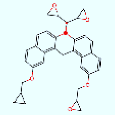 c1cc2ccc(OCC3CO3)c(Cc3c(OCC4CO4)ccc4ccc(OCC5CO5)cc34)c2cc1OCC1CC1